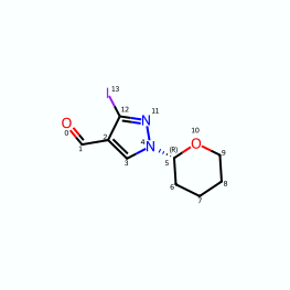 O=Cc1cn([C@H]2CCCCO2)nc1I